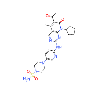 CC(=O)c1c(C)c2cnc(Nc3ccc(N4CCN(S(N)(=O)=O)CC4)cn3)nc2n(C2CCCC2)c1=O